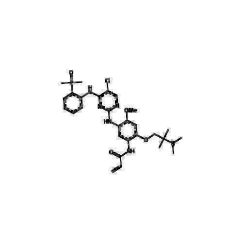 C=CC(=O)Nc1cc(Nc2ncc(Cl)c(Nc3ccccc3P(C)(C)=O)n2)c(OC)cc1OCC(C)(C)N(C)C